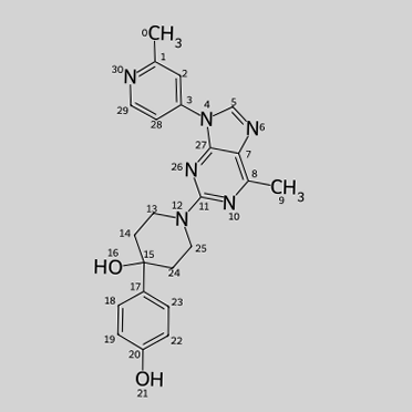 Cc1cc(-n2cnc3c(C)nc(N4CCC(O)(c5ccc(O)cc5)CC4)nc32)ccn1